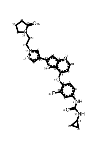 O=C(Nc1ccc(Oc2ccnc3cc(-c4cnn(CCN5CCCC5=O)c4)sc23)c(F)c1)NC1CC1